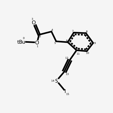 CC(C)(C)OC(=O)CCc1ccccc1C#CSI